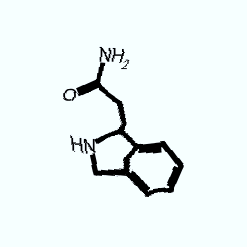 NC(=O)CC1NCc2ccccc21